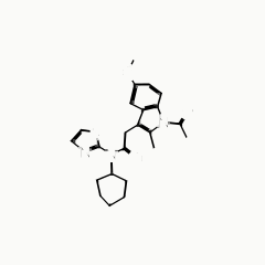 COc1ccc2c(c1)c(CC(=O)N(c1nccs1)C1CCCCC1)c(C)n2C(C)=O